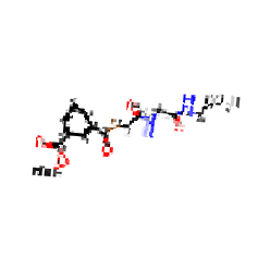 CC(C)(C)OC(=O)c1cccc(C(=O)SCC(=O)NCC(=O)NCC(=O)O)c1